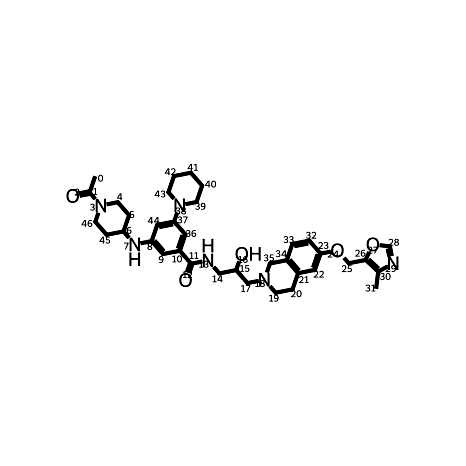 CC(=O)N1CCC(Nc2cc(C(=O)NCC(O)CN3CCc4cc(OCc5ocnc5C)ccc4C3)cc(N3CCCCC3)c2)CC1